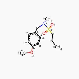 CCCS(=O)(=O)N(C)Cc1ccc(OC)cc1